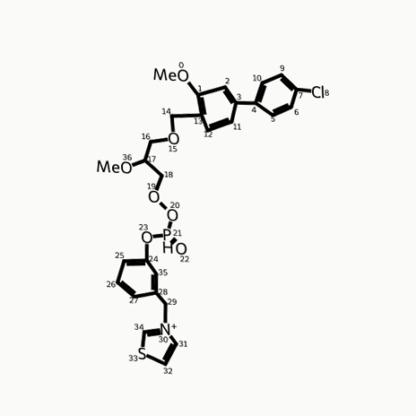 COc1cc(-c2ccc(Cl)cc2)ccc1COCC(COO[PH](=O)Oc1cccc(C[n+]2ccsc2)c1)OC